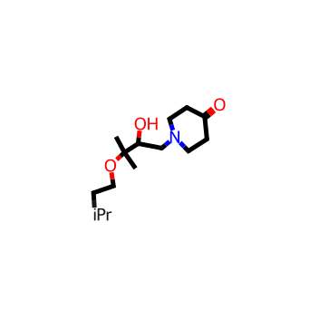 CC(C)CCOC(C)(C)C(O)CN1CCC(=O)CC1